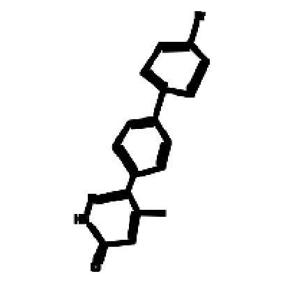 Cc1cc(=O)[nH]nc1-c1ccc(-c2ccc(Br)cc2)cc1